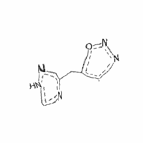 [c]1nnoc1-c1nc[nH]n1